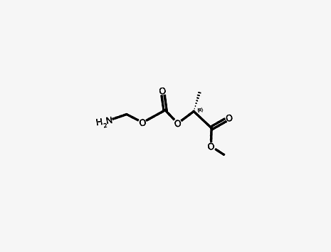 COC(=O)[C@@H](C)OC(=O)OCN